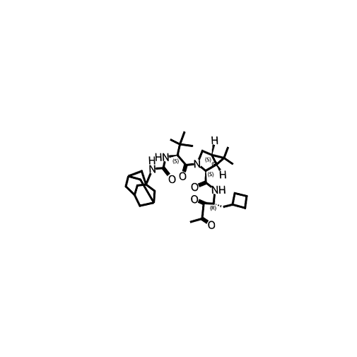 CC(=O)C(=O)[C@@H](CC1CCC1)NC(=O)[C@@H]1[C@@H]2[C@H](CN1C(=O)[C@@H](NC(=O)NC13CC4CC(CC(C4)C1)C3)C(C)(C)C)C2(C)C